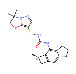 C[C@@H]1Cc2cc3c(c(NC(=O)NSc4cnn5c4OCC5(C)C)c21)CCC3